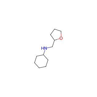 C1CCC(NCC2CCCO2)CC1